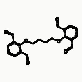 O=Cc1cccc(C=O)c1OCCCCOc1c(C=O)cccc1C=O